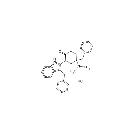 CN(C)C1(Cc2ccccc2)CCC(=O)C(c2[nH]c3ccccc3c2Cc2ccccc2)C1.Cl